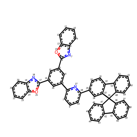 c1cc(-c2cc(-c3nc4ccccc4o3)cc(-c3nc4ccccc4o3)c2)nc(-c2ccc3c(c2)C2(c4ccccc4-c4ccccc42)c2ccccc2-3)c1